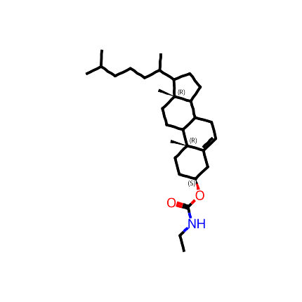 CCNC(=O)O[C@H]1CC[C@@]2(C)C(=CCC3C4CCC(C(C)CCCC(C)C)[C@@]4(C)CCC32)C1